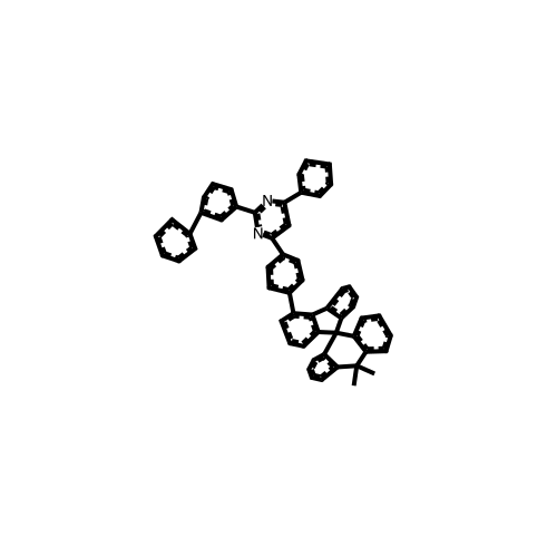 CC1(C)c2ccccc2C2(c3ccccc3-c3c(-c4ccc(-c5cc(-c6ccccc6)nc(-c6cccc(-c7ccccc7)c6)n5)cc4)cccc32)c2ccccc21